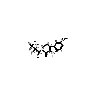 C=C1c2[nH]c3ccc(OC)cc3c2CCN1C(=O)C(F)(F)C(F)(F)F